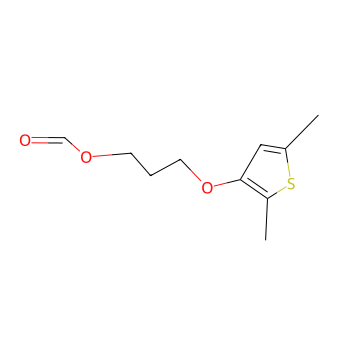 Cc1cc(OCCCOC=O)c(C)s1